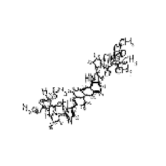 COC(=O)N[C@H](C(=O)N1[C@@H](C)CC[C@H]1c1nc2ccc3cc4c(cc3c2[nH]1)OCc1cc(-c2cnc([C@@H]3C[C@H](F)CN3C(=O)[C@@H](NC(=O)OC)[C@@H](C)OC)[nH]2)ccc1-4)C(C)C